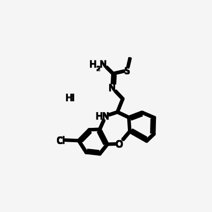 CSC(N)=NCC1Nc2cc(Cl)ccc2Oc2ccccc21.I